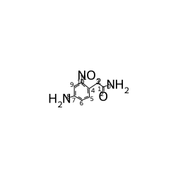 NC(=O)Cc1ccc(N)cc1[N+](=O)[O-]